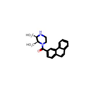 O=C(O)[C@H]1NCCN(C(=O)c2ccc3ccc4ccccc4c3c2)[C@H]1C(=O)O